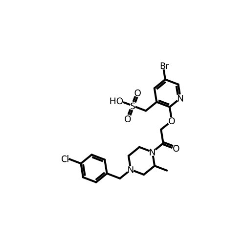 CC1CN(Cc2ccc(Cl)cc2)CCN1C(=O)COc1ncc(Br)cc1CS(=O)(=O)O